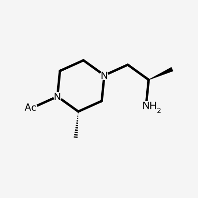 CC(=O)N1CCN(C[C@@H](C)N)C[C@@H]1C